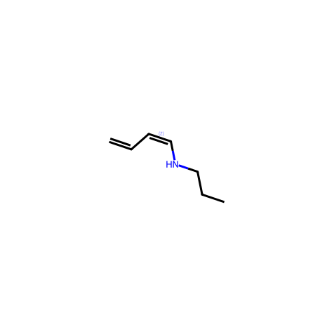 C=C/C=C\NCCC